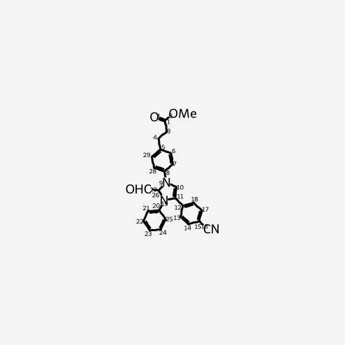 COC(=O)CCc1ccc(N2C=C(c3ccc(C#N)cc3)N(c3ccccc3)C2C=O)cc1